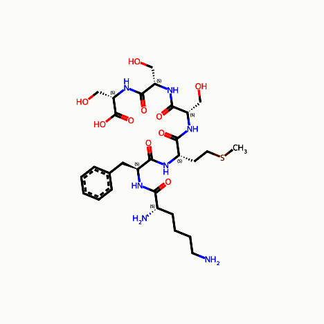 CSCC[C@H](NC(=O)[C@H](Cc1ccccc1)NC(=O)[C@@H](N)CCCCN)C(=O)N[C@@H](CO)C(=O)N[C@@H](CO)C(=O)N[C@@H](CO)C(=O)O